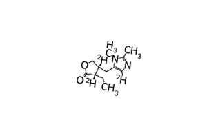 [2H]c1nc(C)n(C)c1C[C@@]1([2H])COC(=O)[C@@]1([2H])CC